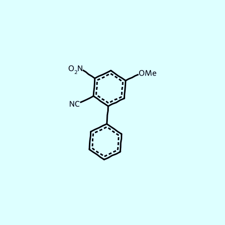 COc1cc(-c2ccccc2)c(C#N)c([N+](=O)[O-])c1